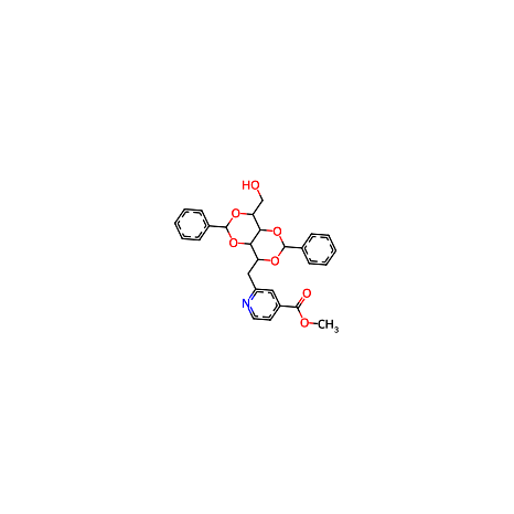 COC(=O)c1ccnc(CC2OC(c3ccccc3)OC3C(CO)OC(c4ccccc4)OC23)c1